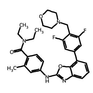 CCN(CC)C(=O)c1ccc(Nc2nc3cccc(-c4cc(F)c(CN5CCOCC5)c(F)c4)c3o2)cc1C